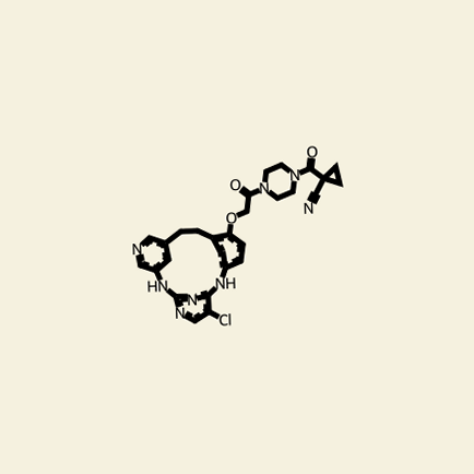 N#CC1(C(=O)N2CCN(C(=O)COc3ccc4cc3CCc3cncc(c3)Nc3ncc(Cl)c(n3)N4)CC2)CC1